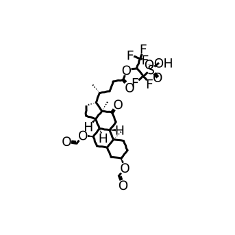 C[C@H](CCC(=O)OC(C(F)(F)F)C(F)(F)S(=O)(=O)O)[C@H]1CC[C@H]2[C@@H]3[C@H](OC=O)CC4C[C@H](OC=O)CC[C@]4(C)[C@H]3CC(=O)[C@]12C